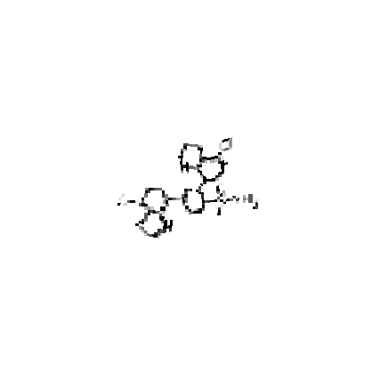 NS(=O)(=O)c1ccc(-c2ccc(Cl)c3cccnc23)cc1-c1ccc(Cl)c2cccnc12